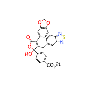 CCOC(=O)c1ccc(C2(O)OC(=O)C(c3ccc4c(c3)OCO4)=C2Cc2ccc3nsnc3c2)cc1